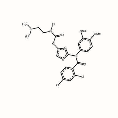 CCN(CCN(C)C)C(=O)Oc1csc(N(C(=O)c2ccc(Cl)cc2Cl)c2ccc(OC)c(OC)c2)n1